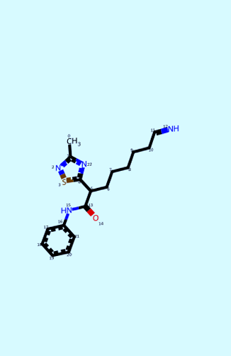 Cc1nsc(C(CCCCCC=N)C(=O)Nc2ccccc2)n1